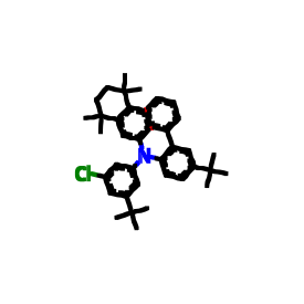 CC(C)(C)c1cc(Cl)cc(N(c2ccc3c(c2)C(C)(C)CCC3(C)C)c2ccc(C(C)(C)C)cc2-c2ccccc2)c1